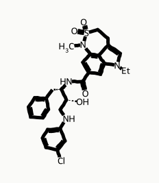 CCn1cc2c3c(cc(C(=O)N[C@@H](Cc4ccccc4)[C@H](O)CNc4cccc(Cl)c4)cc31)N(C)S(=O)(=O)CC2